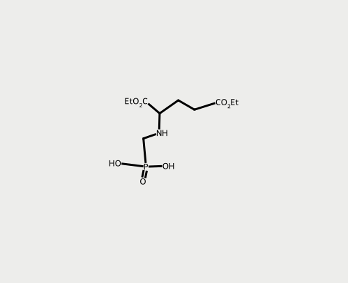 CCOC(=O)CCC(NCP(=O)(O)O)C(=O)OCC